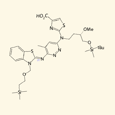 COC(CCN(c1cc(C)c(/N=c2\sc3ccccc3n2COCC[Si](C)(C)C)nn1)c1nc(C(=O)O)cs1)CO[Si](C)(C)C(C)(C)C